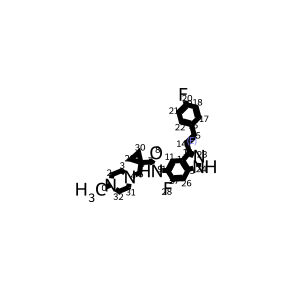 CN1CCN(CC2(C(=O)Nc3cc4c(/C=C/c5ccc(F)cc5)n[nH]c4cc3F)CC2)CC1